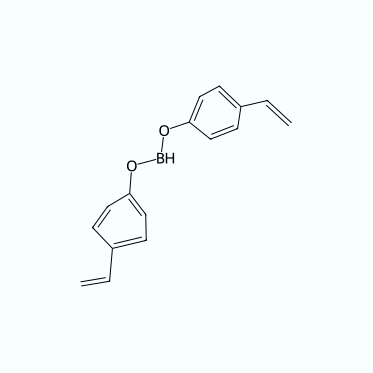 C=Cc1ccc(OBOc2ccc(C=C)cc2)cc1